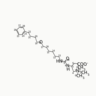 C[N+](C)(C)CC(CC(=O)[O-])NC(=O)NCCCCCCOCCCCc1ccccc1